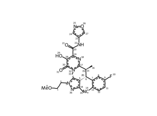 COCCn1cc([C@@H](c2cc(F)ccc2C#N)[C@H](C)c2nc(C(=O)Nc3cnoc3)c(O)c(=O)n2C)c(C)n1